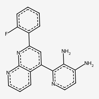 Nc1ccnc(-c2cc(-c3ccccc3F)nc3ncccc23)c1N